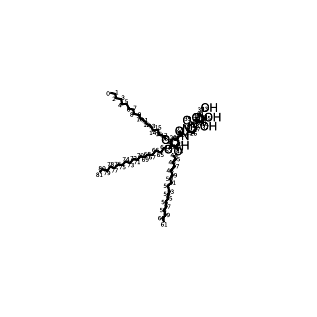 CCCCCCCCCCCCCCCCCCOc1cc(C(=O)Nc2ccn([C@@H]3O[C@H](CO)[C@@H](O)[C@H]3O)c(=O)n2)cc(OCCCCCCCCCCCCCCCCCC)c1OCCCCCCCCCCCCCCCCCC